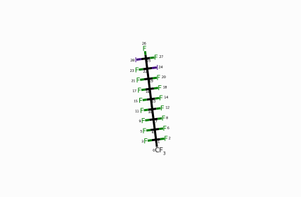 FC(F)(F)C(F)(F)C(F)(F)C(F)(F)C(F)(F)C(F)(F)C(F)(F)C(F)(F)C(F)(I)C(F)(F)I